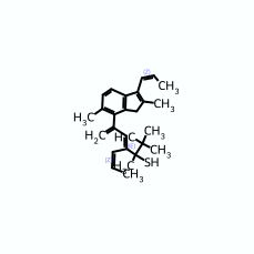 C=C(/C=C(\C=C/C)C(C)(S)C(C)(C)C)c1c(C)ccc2c1CC(C)=C2/C=C\C